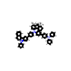 CC1(C)c2ccccc2-c2c(N(c3ccc(-c4ccc(N(c5ccccc5)c5ccccc5)cc4)cc3)c3ccc(-c4ccc5c(c4)c4c6ccccc6ccc4n5-c4ccccc4)cc3)cccc21